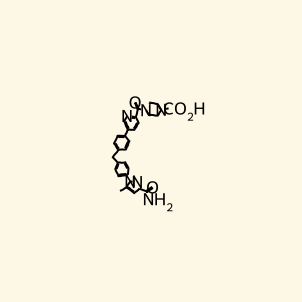 Cc1cc(C(N)=O)nn1-c1ccc(Cc2ccc(-c3ccc(C(=O)N4CCN(C(=O)O)CC4)nc3)cc2)cc1